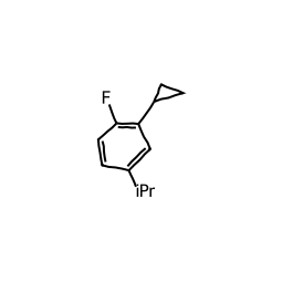 CC(C)c1ccc(F)c(C2CC2)c1